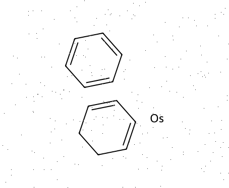 C1=CCCC=C1.[Os].c1ccccc1